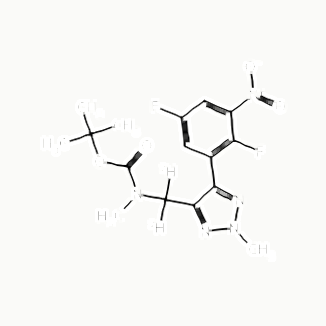 [2H]C([2H])(c1nn(C)nc1-c1cc(F)cc([N+](=O)[O-])c1F)N(C)C(=O)OC(C)(C)C